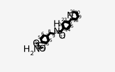 NS(=O)(=O)c1ccc(CCNC(=O)c2ccc(-c3ccccn3)cc2)cc1